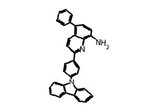 Nc1ccc(-c2ccccc2)c2ccc(-c3ccc(-n4c5ccccc5c5ccccc54)cc3)nc12